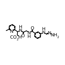 Cc1cccc(C(CC(=O)O)NC(=O)CNC(=O)c2cccc(NC=NN)c2)n1